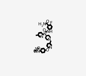 Cc1ccc(N(C(=O)Nc2ccc(F)c(C(N)=O)c2)C2CCN(Cc3ccc(Oc4ccc(NS(C)(=O)=O)cc4)nc3)CC2)nc1